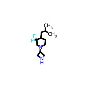 CC(C)CC1CCN(C2CNC2)CC1(F)F